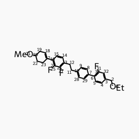 CCOCc1ccc(-c2ccc(CCc3ccc(C4=CCC(OC)CC4)c(F)c3F)cc2)c(F)c1